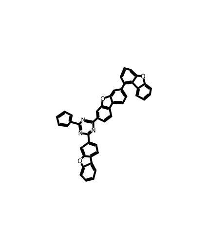 c1ccc(-c2nc(-c3ccc4c(c3)oc3ccccc34)nc(-c3ccc4c(c3)oc3cc(-c5cccc6oc7ccccc7c56)ccc34)n2)cc1